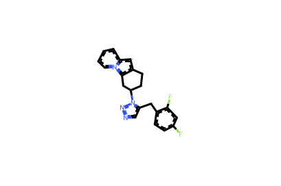 Fc1ccc(Cc2cnnn2C2CCc3[c]c4ccccn4c3C2)c(F)c1